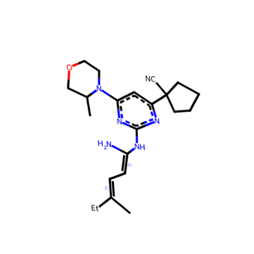 CC/C(C)=C/C=C(\N)Nc1nc(N2CCOCC2C)cc(C2(C#N)CCCC2)n1